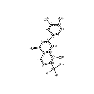 O=c1cc(-c2ccc(O)c(Cl)c2)oc2c(Cl)c(C(F)(F)F)ccc12